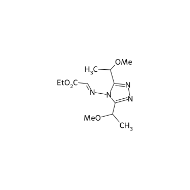 CCOC(=O)C=Nn1c(C(C)OC)nnc1C(C)OC